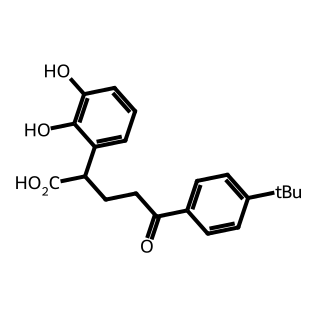 CC(C)(C)c1ccc(C(=O)CCC(C(=O)O)c2cccc(O)c2O)cc1